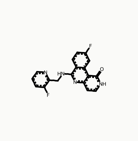 O=c1[nH]ccc2nc(NCc3ncccc3F)c3ccc(F)cc3c12